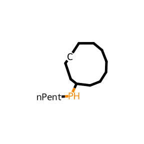 CCCCCPC1CCCCCCCCCC1